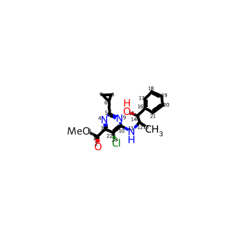 COC(=O)c1nc(C2CC2)nc(NC(C)C(O)c2ccccc2)c1Cl